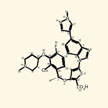 C[C@@H](Oc1cc(-n2cnc3cc(-c4cnn(C)c4)ccc32)sc1C(=O)O)c1ccc(F)c(OC2CCN(C)CC2)c1Cl